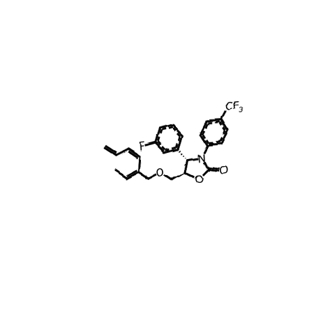 C=C/C=C\C(=C/C)COC[C@@H]1OC(=O)N(c2ccc(C(F)(F)F)cc2)[C@H]1c1cccc(F)c1